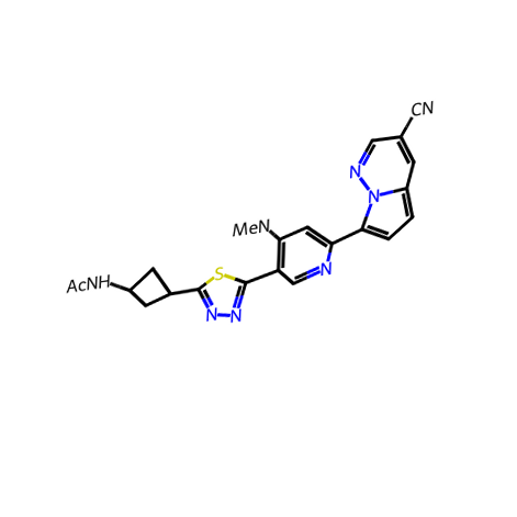 CNc1cc(-c2ccc3cc(C#N)cnn23)ncc1-c1nnc(C2CC(NC(C)=O)C2)s1